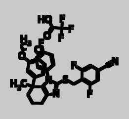 COc1cc(C2(C)CCCc3nc(SCc4c(F)cc(C#N)cc4F)n(-c4ccc(F)cc4)c32)ccc1Cl.O=C(O)C(F)(F)F